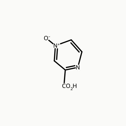 O=C(O)c1c[n+]([O-])ccn1